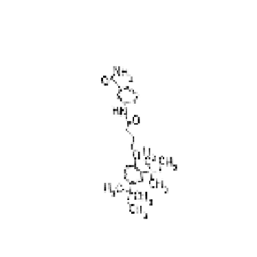 CCC(C)(C)c1ccc(OCCCC(=O)Nc2cccc(C(N)=O)c2)c(C(C)(C)CC)c1